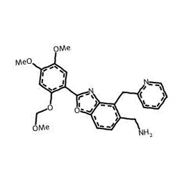 COCOc1cc(OC)c(OC)cc1-c1nc2c(Cc3ccccn3)c(CN)ccc2o1